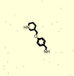 [NH]Cc1ccc(OCC2CCCNC2)cc1